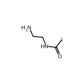 NCCNC(=O)I